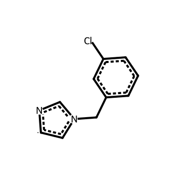 Clc1cccc(Cn2c[c]nc2)c1